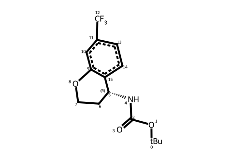 CC(C)(C)OC(=O)N[C@@H]1CCOc2cc(C(F)(F)F)ccc21